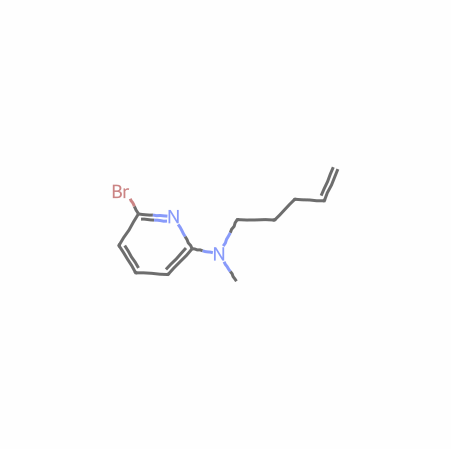 C=CCCCN(C)c1cccc(Br)n1